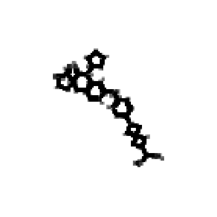 CC(C)N1CC2(CN(c3ccc(Nc4ncc5c(n4)N(C4CCCC4)C(=O)[C@]4(CCNC4=O)C5)nc3)C2)C1